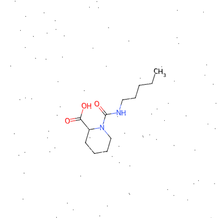 CCCCCNC(=O)N1CCCCC1C(=O)O